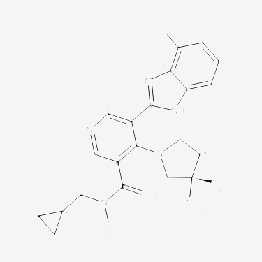 Cc1cccc2[nH]c(-c3cncc(C(=O)N(C)CC4CC4)c3N3CC[C@](C)(N)C3)nc12